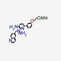 COCCOc1cccc(-c2ccc(N)c(N(N)Cc3ccc4ncccc4c3)n2)c1